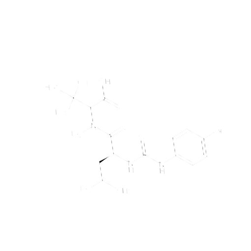 CC(C)C[C@H](NC(=O)Nc1ccc(Br)cc1)C(=O)N(C)C(C(=O)O)C(C)(C)C